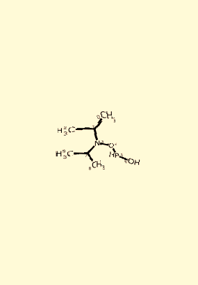 CC(C)N(OPO)C(C)C